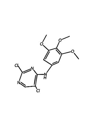 COc1cc(Nc2nc(Cl)ncc2Cl)cc(OC)c1OC